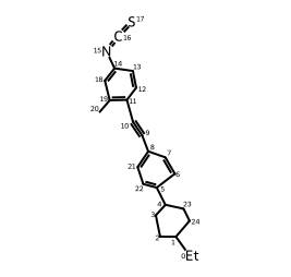 CCC1CCC(c2ccc(C#Cc3ccc(N=C=S)cc3C)cc2)CC1